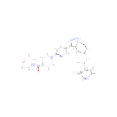 C[C@@H](Oc1ccc2[nH]nc(-c3ccc(N4CCN(C(=O)N5CCOCC5)CC4)nc3)c2c1)c1c(Cl)cncc1Cl